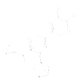 C/C(=C\N(C(=N)C(O)C1CC1)C12CCC(C1)C2)c1cnc(N)c(C(F)(F)F)c1